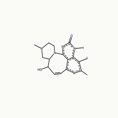 Cc1nc2c3c(nc(=O)n(I)c3c1F)N1CCN(C)CC1C(O)/C=C\2